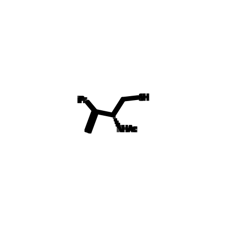 C=C(C(C)C)[C@H](CS)NC(C)=O